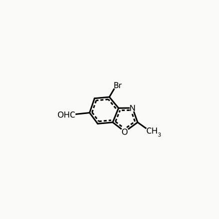 Cc1nc2c(Br)cc(C=O)cc2o1